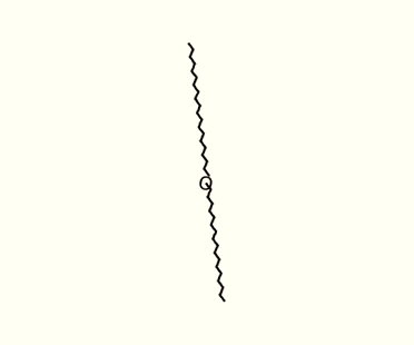 CCCCCCCCCCCCCCCCCCCCOCCCCCCCCCCCCCCCCC